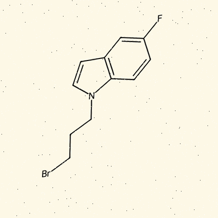 Fc1ccc2c(ccn2CCCBr)c1